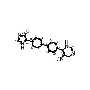 ClC1=C(c2ccc(-c3ccc(-c4[nH]cnc4Cl)cc3)cc2)NC=NC1